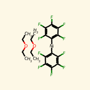 CCOCC.CCOCC.Fc1c(F)c(F)[c]([Ni][c]2c(F)c(F)c(F)c(F)c2F)c(F)c1F